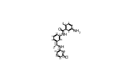 Cc1ccc(N)cc1C(=O)Nc1cccc([C@H](C)Nc2cncc(Cl)n2)c1